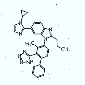 CCCc1nc2ccc(-c3nccn3C3CC3)cc2n1-c1ccc(-c2ccccc2)c(-c2nnn[nH]2)c1C